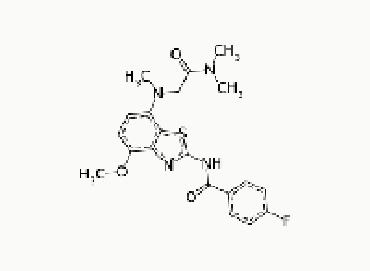 COc1ccc(N(C)CC(=O)N(C)C)c2sc(NC(=O)c3ccc(F)cc3)nc12